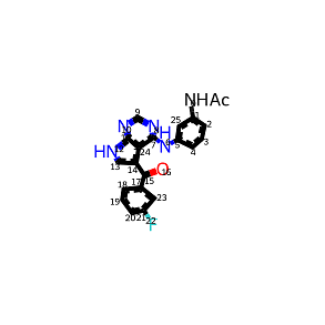 CC(=O)Nc1cccc(Nc2ncnc3[nH]cc(C(=O)c4cccc(F)c4)c23)c1